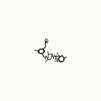 Cc1cc(CC=O)cc(CN2C(C)CN(c3nc4ccc(C)cc4s3)CC2C)c1